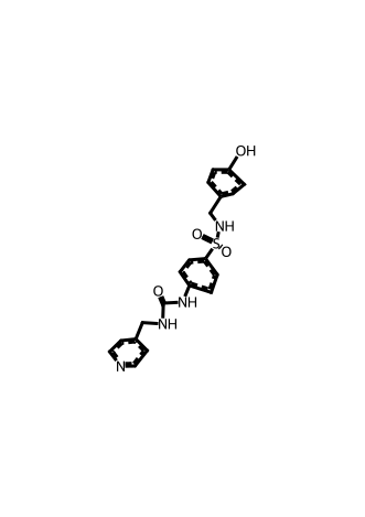 O=C(NCc1ccncc1)Nc1ccc(S(=O)(=O)NCc2ccc(O)cc2)cc1